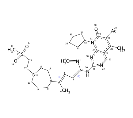 C=N/C(=C\C=C(/C)C1CCCN(CCS(C)(=O)=O)CC1)Nc1ncc2c(C)c(C(C)=O)c(=O)n(C3CCCC3)c2n1